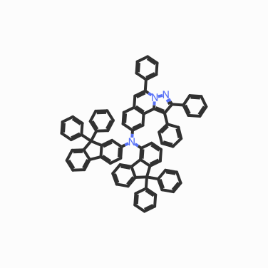 c1ccc(-c2nn3c(-c4ccccc4)cc4ccc(N(c5ccc6c(c5)C(c5ccccc5)(c5ccccc5)c5ccccc5-6)c5cccc6c5-c5ccccc5C6(c5ccccc5)c5ccccc5)cc4c3c2-c2ccccc2)cc1